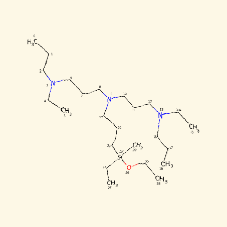 CCCN(CC)CCCN(CCCN(CC)CCC)CCC[Si](C)(CC)OCC